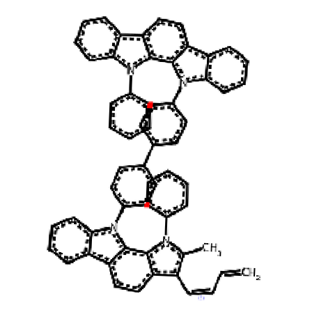 C=C/C=C\c1c(C)n(-c2ccccc2)c2c1ccc1c3ccccc3n(-c3ccc(-c4ccc(-n5c6ccccc6c6ccc7c8ccccc8n(-c8ccccc8)c7c65)cc4)cc3)c12